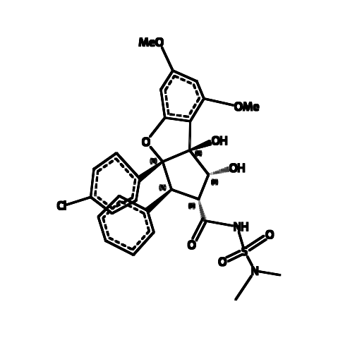 COc1cc(OC)c2c(c1)O[C@@]1(c3ccc(Cl)cc3)[C@H](c3ccccc3)[C@@H](C(=O)NS(=O)(=O)N(C)C)[C@@H](O)[C@@]21O